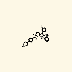 CN1CCC(c2ccc(-c3nc4c(s3)C(=O)N(C(c3cccc(I)c3)c3nc5ccccc5[nH]3)CC4)cc2)CC1